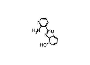 Nc1ncccc1-c1nc2c(O)cccc2o1